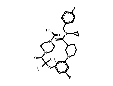 CC(C)(Oc1cc(F)cc(N2CCCC(C(=O)N(Cc3ccc(Br)cc3)C3CC3)C2)c1)C(=O)N1CCN(C(=O)O)CC1